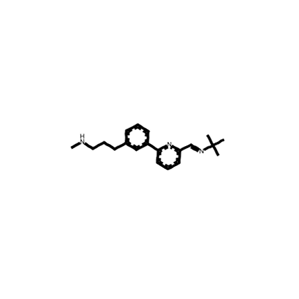 CNCCCc1cccc(-c2cccc(/C=N/C(C)(C)C)n2)c1